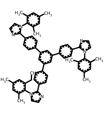 CCc1cc(C)cc(C)c1-n1ccnc1-c1ccc(-c2cc(-c3ccc(-c4nccn4-c4c(C)cc(C)cc4C)cc3)cc(-c3ccc(-c4nccn4-c4c(C)cc(C)cc4C)cc3)c2)cc1